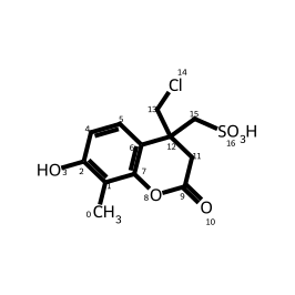 Cc1c(O)ccc2c1OC(=O)CC2(CCl)CS(=O)(=O)O